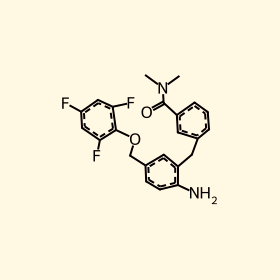 CN(C)C(=O)c1cccc(Cc2cc(COc3c(F)cc(F)cc3F)ccc2N)c1